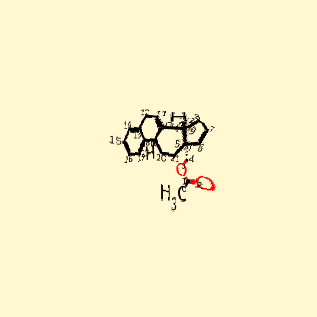 CC(=O)OC[C@@]12C=CC[C@H]1C1=CCc3ccccc3[C@H]1CC2